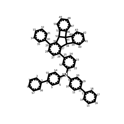 c1ccc(-c2ccc(N(c3ccc(-c4ccccc4)cc3)c3cccc(-c4ccc(-c5ccccc5)c5c4C4c6ccccc6C46c4ccccc4C56)c3)cc2)cc1